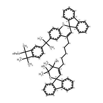 CCCCCC1(C)c2cc(C(C)(C)c3ccc4c(c3)C(CCCCCC3=CC5(OC(C)(CCC)C3(C)CCC)c3ccccc3-c3ccccc35)=CC3(O4)c4ccccc4-c4ccccc43)ccc2C1(C)C